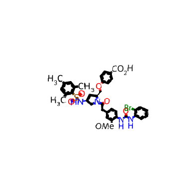 COc1cc(CC(=O)N2C[C@@H](NS(=O)(=O)c3c(C)cc(C)cc3C)C[C@H]2COc2ccc(C(=O)O)cc2)ccc1NC(=O)Nc1ccccc1Br